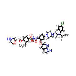 C/C(CN1CCN(c2ccc(C(=O)NS(=O)(=O)c3ccc(OC[C@H]4CNCCO4)c([N+](=O)[O-])c3)c(Oc3cnc4[nH]ccc4c3)c2)CC1)=C(\CC(C)C)c1ccc(Cl)cc1